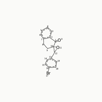 O=C1c2ccccc2CCC12OC2c1ccc(Br)cc1